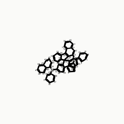 c1ccc(N(c2ccccc2)c2cc3ccccc3c3c2C2(c4ccccc4-c4ccc(N(c5ccccc5)c5cccc6ccccc56)cc42)c2ccccc2-3)cc1